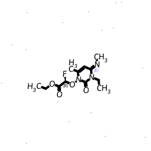 CCOC(=O)[C@@H](F)On1c(C)c/c(=N\C)n(CC)c1=O